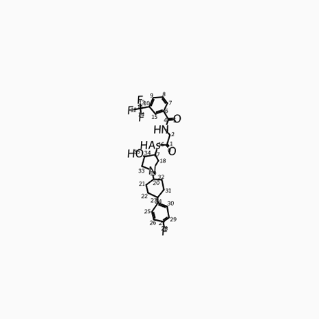 O=C(CNC(=O)c1cccc(C(F)(F)F)c1)[AsH]C1CN(C2CCC(c3ccc(F)cc3)CC2)CC1O